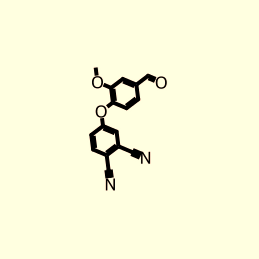 COc1cc(C=O)ccc1Oc1ccc(C#N)c(C#N)c1